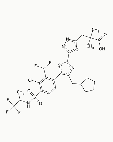 CC(NS(=O)(=O)c1ccc(-c2sc(-c3nnc(CC(C)(C)C(=O)O)o3)nc2CC2CCCC2)c(C(F)F)c1Cl)C(F)(F)F